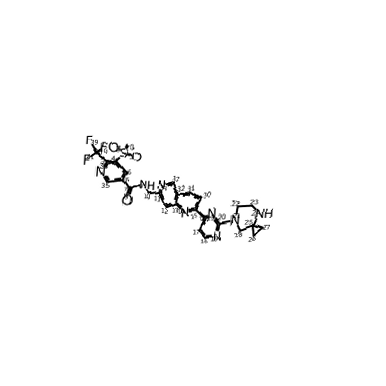 CS(=O)(=O)c1cc(C(=O)NCc2cc3nc(-c4ccnc(N5CCNC6(CC6)C5)n4)ccc3cn2)cnc1C(F)(F)F